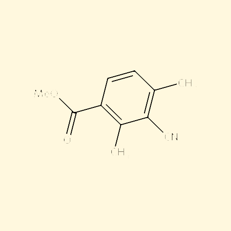 COC(=O)c1ccc(C)c(C#N)c1C